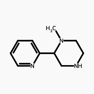 CN1CCNC[C]1c1ccccn1